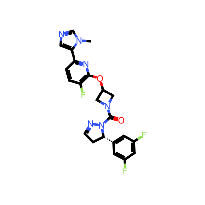 Cn1cncc1-c1ccc(F)c(OC2CN(C(=O)N3N=CC[C@H]3c3cc(F)cc(F)c3)C2)n1